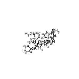 CCC1(C)CN(Cc2cc(C(c3ccc4c(nnn4C)c3C)C(C)(C)C(=O)O)ccc2C)Cc2ccccc2O1